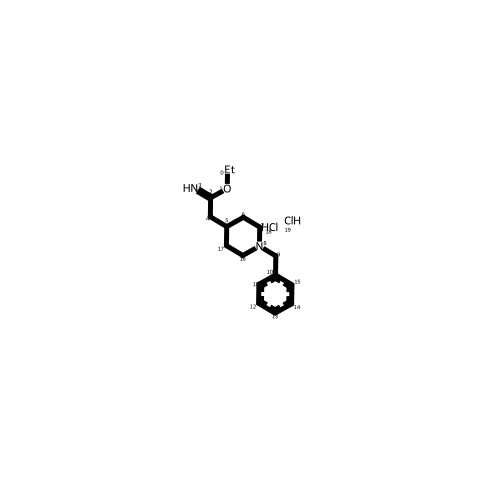 CCOC(=N)CC1CCN(Cc2ccccc2)CC1.Cl.Cl